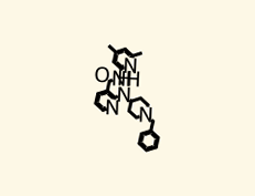 Cc1cc(C)nc(NC(=O)c2cccnc2NC2CCN(Cc3ccccc3)CC2)c1